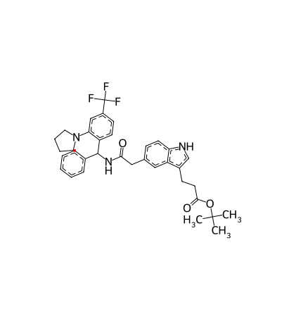 CC(C)(C)OC(=O)CCc1c[nH]c2ccc(CC(=O)NC(c3ccccc3)c3ccc(C(F)(F)F)cc3N3CCCC3)cc12